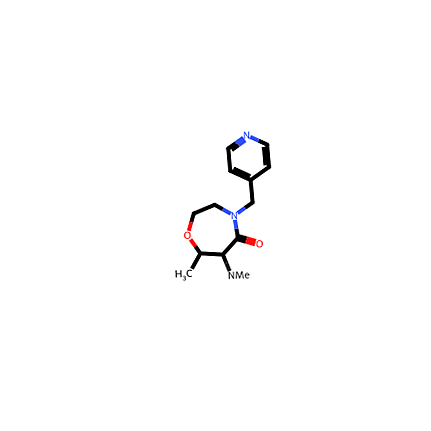 CNC1C(=O)N(Cc2ccncc2)CCOC1C